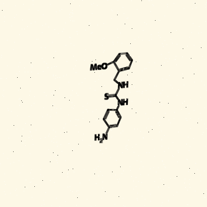 COc1ccccc1CNC(=S)Nc1ccc(N)cc1